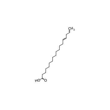 C=CCC=CCCCCCCCCCCCCC(=O)O